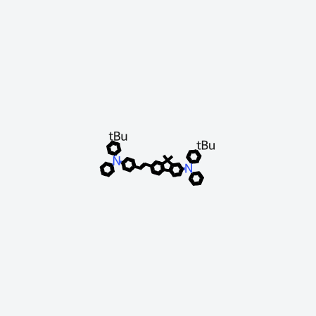 CC(C)(C)c1ccc(N(c2ccccc2)c2ccc(/C=C/c3ccc4c(c3)C(C)(C)c3cc(N(c5ccccc5)c5ccc(C(C)(C)C)cc5)ccc3-4)cc2)cc1